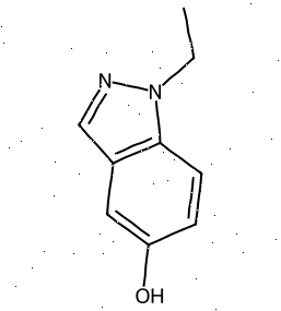 CCn1ncc2cc(O)ccc21